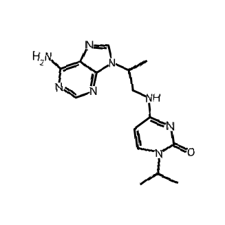 CC(C)n1ccc(NCC(C)n2cnc3c(N)ncnc32)nc1=O